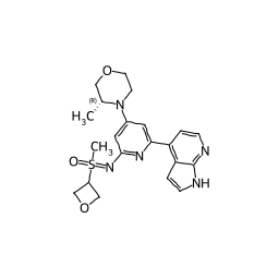 C[C@@H]1COCCN1c1cc(N=S(C)(=O)C2COC2)nc(-c2ccnc3[nH]ccc23)c1